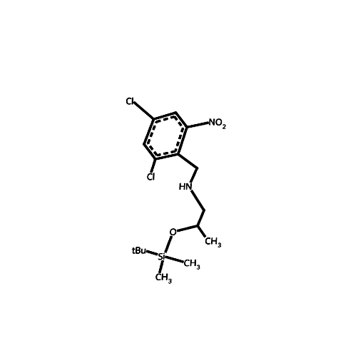 CC(CNCc1c(Cl)cc(Cl)cc1[N+](=O)[O-])O[Si](C)(C)C(C)(C)C